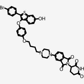 O=C1CCC(N2C(=O)c3ccc(N4CCN(CCCCOc5ccc(Oc6c(-c7ccc(Br)cc7)sc7cc(O)ccc67)cc5)CC4)cc3C2=O)C(=O)N1